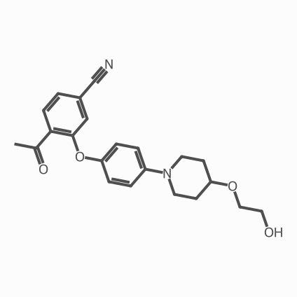 CC(=O)c1ccc(C#N)cc1Oc1ccc(N2CCC(OCCO)CC2)cc1